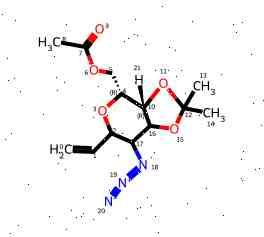 C=CC1O[C@H](COC(C)=O)[C@@H]2OC(C)(C)OC2C1N=[N+]=[N-]